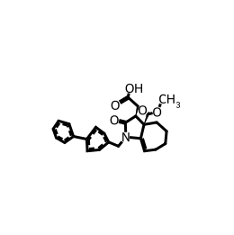 COC(=O)[C@@]12CCCCC=C1N(Cc1ccc(-c3ccccc3)cc1)C(=O)[C@H]2CC(=O)O